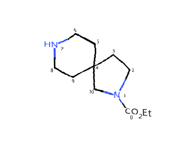 CCOC(=O)N1CCC2(CCNCC2)C1